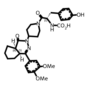 COc1ccc(C2=NN(C3CCN(C(=O)[C@H](Cc4ccc(O)cc4)NC(=O)O)CC3)C(=O)[C@@H]3CCCC[C@H]23)cc1OC